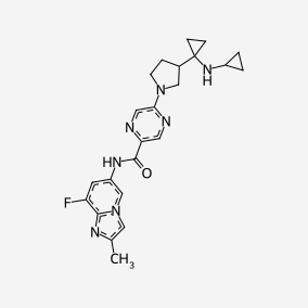 Cc1cn2cc(NC(=O)c3cnc(N4CCC(C5(NC6CC6)CC5)C4)cn3)cc(F)c2n1